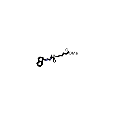 COC(=O)CCCCCNC(=O)/C=C/C=C/c1cccc2ccccc12